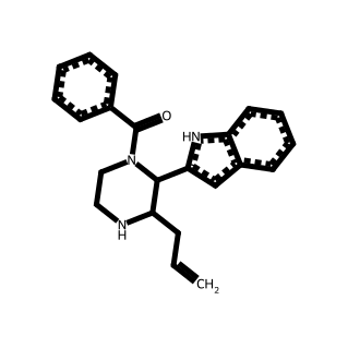 C=CCC1NCCN(C(=O)c2ccccc2)C1c1cc2ccccc2[nH]1